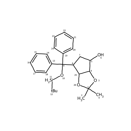 CC1(C)OC2C(O)CC(C(O[SiH2]C(C)(C)C)(c3ccccc3)c3ccccc3)C2O1